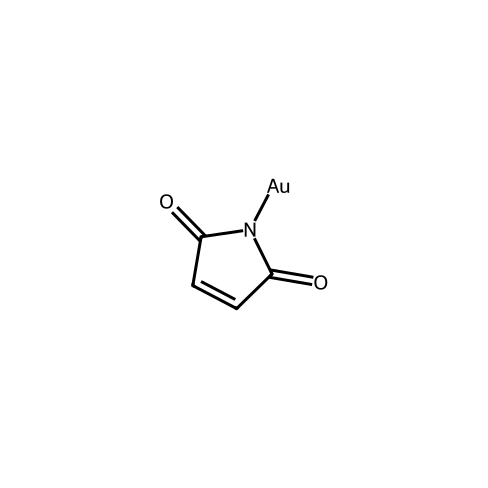 O=C1C=CC(=O)[N]1[Au]